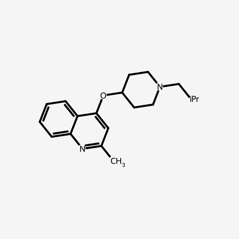 Cc1cc(OC2CCN(CC(C)C)CC2)c2ccccc2n1